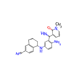 Cn1cccc(C(=N)c2cc(NC3CCCc4cc(C#N)ccc43)ccc2N)c1=O